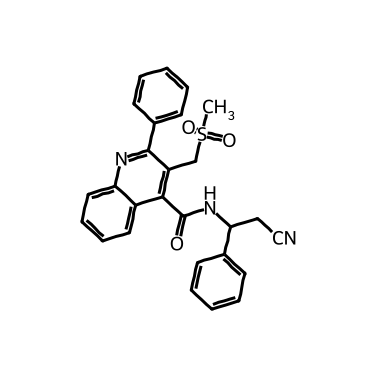 CS(=O)(=O)Cc1c(-c2ccccc2)nc2ccccc2c1C(=O)NC(CC#N)c1ccccc1